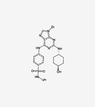 CCCNS(=O)(=O)c1ccc(Nc2nc(N[C@H]3CC[C@H](O)CC3)nc3c2ncn3CC)cc1